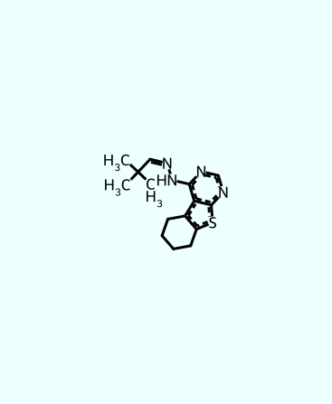 CC(C)(C)/C=N\Nc1ncnc2sc3c(c12)CCCC3